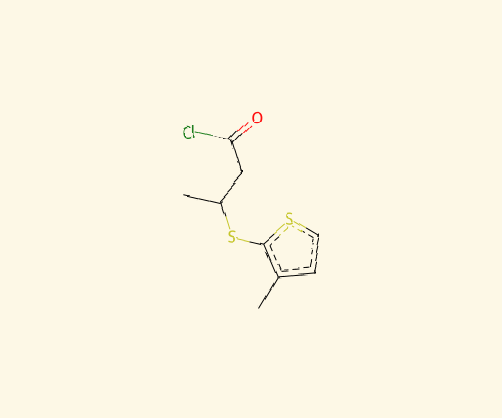 Cc1ccsc1SC(C)CC(=O)Cl